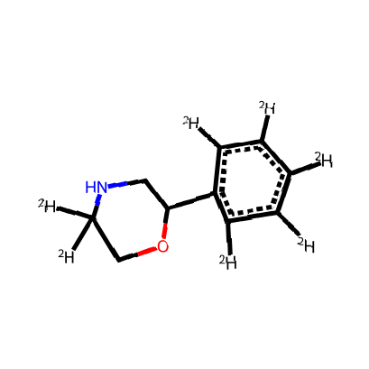 [2H]c1c([2H])c([2H])c(C2CNC([2H])([2H])CO2)c([2H])c1[2H]